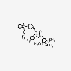 CCOCCn1c(N2CCCN(CCCC3(Cc4ccc(F)cc4)CCN(Cc4cc(OC)c(OC)c(OC)c4)C3=O)CC2)nc2ccccc21